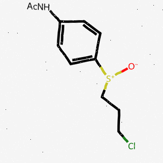 CC(=O)Nc1ccc([S+]([O-])CCCCl)cc1